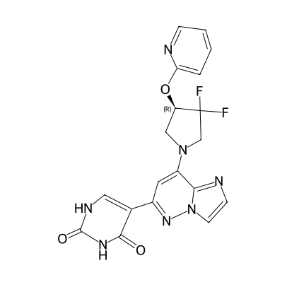 O=c1[nH]cc(-c2cc(N3C[C@@H](Oc4ccccn4)C(F)(F)C3)c3nccn3n2)c(=O)[nH]1